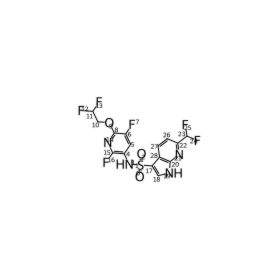 O=S(=O)(Nc1cc(F)c(OCC(F)F)nc1F)c1c[nH]c2nc(C(F)F)ccc12